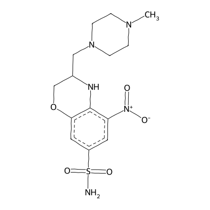 CN1CCN(CC2COc3cc(S(N)(=O)=O)cc([N+](=O)[O-])c3N2)CC1